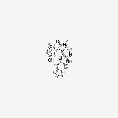 Cn1c(=O)n(C23CC4CC(O)(CC4C2)C3)c2nc(NC3=CC4CCOC4C=C3Cl)ncc21